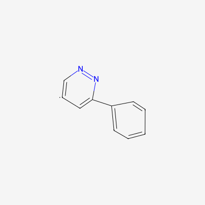 [c]1cnnc(-c2ccccc2)c1